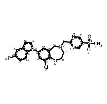 CS(=O)(=O)c1cnc(CN2CCOc3c(Cl)cc(-n4ccc5cc(F)ccc54)cc3C2)nc1